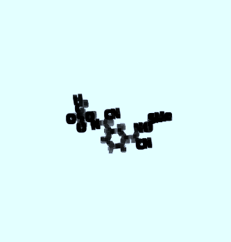 CSON=C(C#N)c1cccc(C(C#N)=NOS(C)(=O)=O)c1